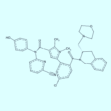 Cc1c(C(=O)N(c2ccc(O)cc2)c2cccc(C#N)n2)cc(-c2cc(Cl)ccc2C(=O)N2Cc3ccccc3C[C@H]2CN2CCOCC2)n1C